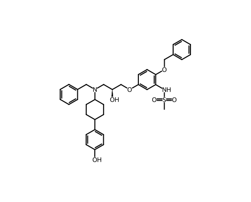 CS(=O)(=O)Nc1cc(OC[C@@H](O)CN(Cc2ccccc2)C2CCC(c3ccc(O)cc3)CC2)ccc1OCc1ccccc1